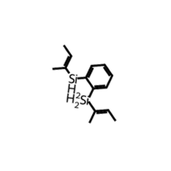 CC=C(C)[SiH2]c1ccccc1[SiH2]C(C)=CC